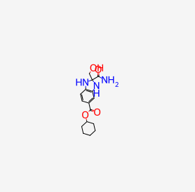 NC(=O)C1(CO)Nc2ccc(C(=O)OC3CCCCC3)cc2N1